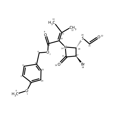 COc1ccc(COC(=O)C(=C(C)C)N2C(=O)[C@H](Br)[C@H]2SC=O)cc1